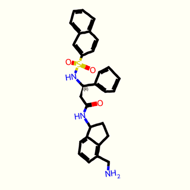 NCc1cccc2c1CCC2NC(=O)C[C@@H](NS(=O)(=O)c1ccc2ccccc2c1)c1ccccc1